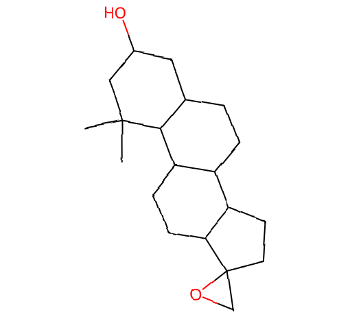 CC1(C)CC(O)CC2CCC3C(CCC4C3CCC43CO3)C21